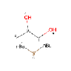 CC(O)CO.CCCCSCCCC